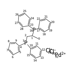 CC(CP(c1ccccc1)c1ccccc1)P(c1ccccc1)c1ccccc1.[Cl-].[Cl-].[Pd+2]